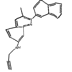 C#CCNc1ccc2cc(C)c(-c3ccc4ccccc4c3)nc2c1